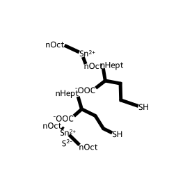 CCCCCCCC(CCS)C(=O)[O-].CCCCCCCC(CCS)C(=O)[O-].CCCCCCC[CH2][Sn+2][CH2]CCCCCCC.CCCCCCC[CH2][Sn+2][CH2]CCCCCCC.[S-2]